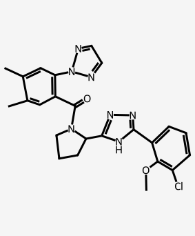 COc1c(Cl)cccc1-c1nnc(C2CCCN2C(=O)c2cc(C)c(C)cc2-n2nccn2)[nH]1